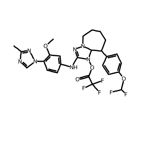 COc1cc(NC2=NN3CCCCC(c4ccc(OC(F)F)cc4)C3N2OC(=O)C(F)(F)F)ccc1-n1cnc(C)n1